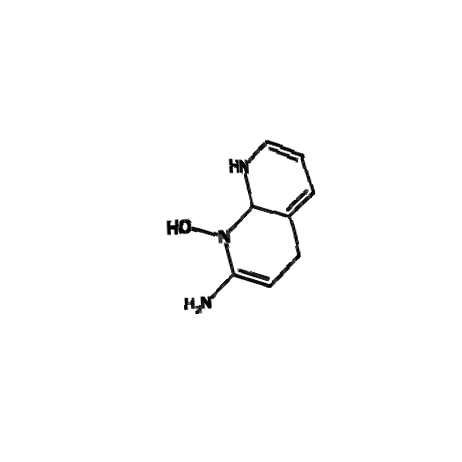 NC1=CCC2=CC=CNC2N1O